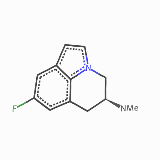 CN[C@H]1Cc2cc(F)cc3ccn(c23)C1